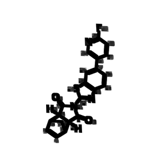 O=C1[C@@H]2C3C=CC(C3)[C@@H]2C(=O)N1c1nc2ccc(-c3ccc(F)nc3)cc2s1